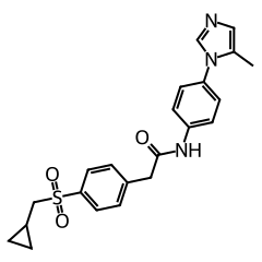 Cc1cncn1-c1ccc(NC(=O)Cc2ccc(S(=O)(=O)CC3CC3)cc2)cc1